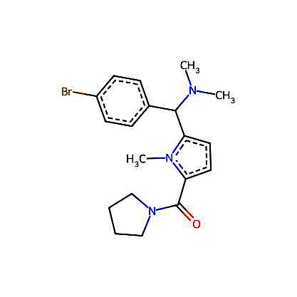 CN(C)C(c1ccc(Br)cc1)c1ccc(C(=O)N2CCCC2)n1C